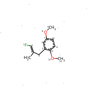 [CH2]C(=CF)Cc1cc(OC)ccc1OC